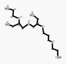 SCCSCCCSC(CS)CSCC(CS)SCCS